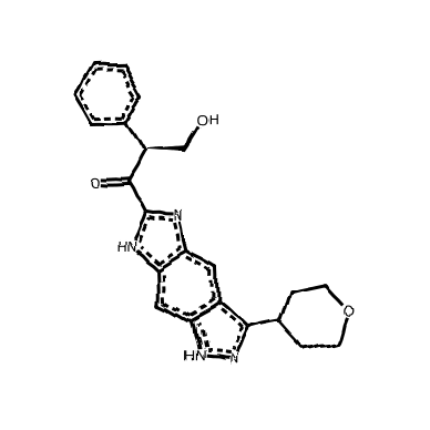 O=C(c1nc2cc3c(C4CCOCC4)n[nH]c3cc2[nH]1)[C@H](CO)c1ccccc1